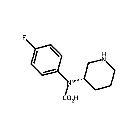 O=C(O)N(c1ccc(F)cc1)[C@H]1CCCNC1